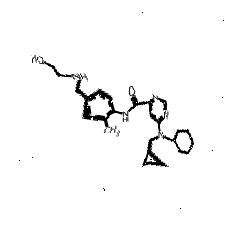 Cc1cc(CNCCO)ccc1NC(=O)c1cc(N(CC2CC2)C2CCCCC2)ncn1